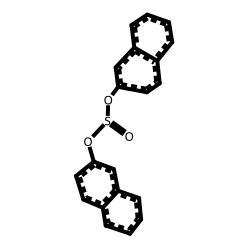 O=S(Oc1ccc2ccccc2c1)Oc1ccc2ccccc2c1